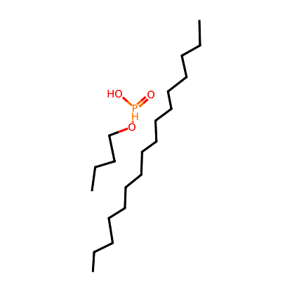 CCCCCCCCCCCCCCCC.CCCCO[PH](=O)O